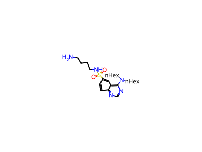 CCCCCCN(CCCCCC)c1ncnc2ccc(S(=O)(=O)NCCCCN)cc12